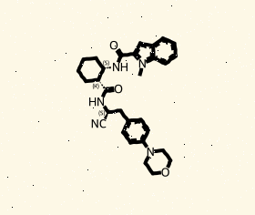 Cn1c(C(=O)N[C@H]2CCCC[C@H]2C(=O)N[C@H](C#N)Cc2ccc(N3CCOCC3)cc2)cc2ccccc21